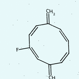 C=c1ccccc(=C)cc(F)cc1